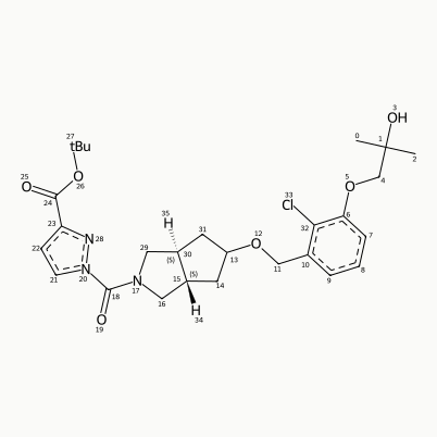 CC(C)(O)COc1cccc(COC2C[C@@H]3CN(C(=O)n4ccc(C(=O)OC(C)(C)C)n4)C[C@H]3C2)c1Cl